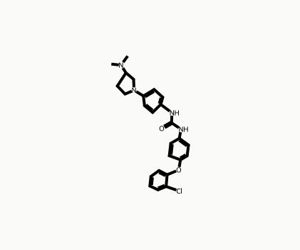 CN(C)C1CCN(c2ccc(NC(=O)Nc3ccc(Oc4ccccc4Cl)cc3)cc2)C1